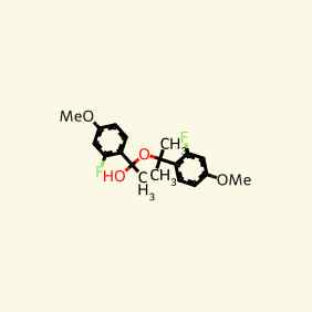 COc1ccc(C(C)(C)OC(C)(O)c2ccc(OC)cc2F)c(F)c1